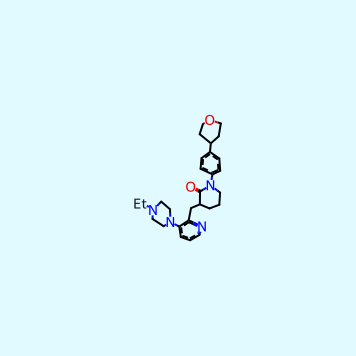 CCN1CCN(c2cccnc2CC2CCCN(c3ccc(C4CCOCC4)cc3)C2=O)CC1